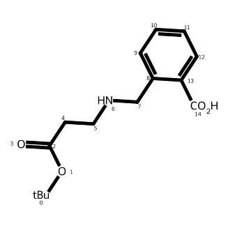 CC(C)(C)OC(=O)CCNCc1ccccc1C(=O)O